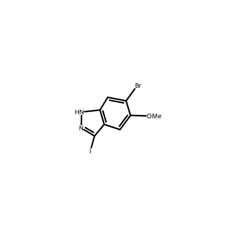 COc1cc2c(I)n[nH]c2cc1Br